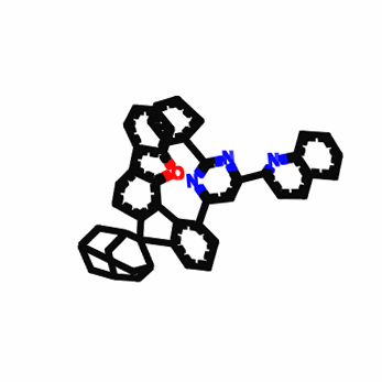 c1ccc(-c2nc(-c3ccc4ccccc4n3)cc(-c3cccc4c3-c3c(ccc5c3oc3ccccc35)C43C4CC5CC(C4)CC3C5)n2)cc1